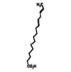 CC=CCC=CCCCCCCCCCC(=O)O